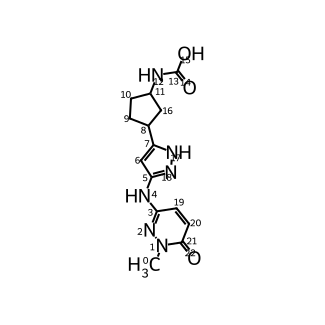 Cn1nc(Nc2cc(C3CCC(NC(=O)O)C3)[nH]n2)ccc1=O